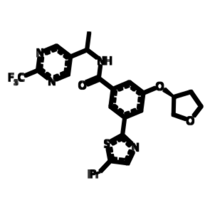 CC(C)c1cnc(-c2cc(O[C@H]3CCOC3)cc(C(=O)NC(C)c3cnc(C(F)(F)F)nc3)c2)s1